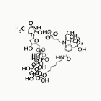 C/C=C1/N(CCCS(=O)(=O)O)c2cc(C(=O)NCCCCCCOP(=O)(O)OP(=O)(O)OP(=O)(O)OP(=O)(O)OP(=O)(O)OP(=O)(O)OC[C@@H]3O[C@H](n4cc(C)c(=O)[nH]c4=O)CC3O)cc(C(=O)O)c2C1(C)C